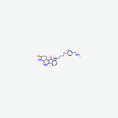 N=C1c2cccc(NCCCOc3ccc(CN)cn3)c2C(=O)N1C1CCC(=O)NC1=O